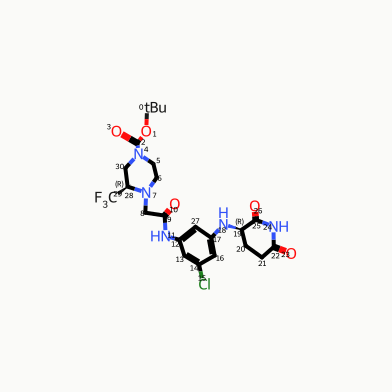 CC(C)(C)OC(=O)N1CCN(CC(=O)Nc2cc(Cl)cc(N[C@@H]3CCC(=O)NC3=O)c2)[C@@H](C(F)(F)F)C1